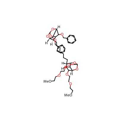 COCCOCCOC1C2OC3O[C@@H]1C(OCCOCCOC)[C@@H](O3)[C@@H]2CCCCCCC[C@@H]1C2OC3O[C@@H](C2OCc2ccccc2)C(OCc2ccccc2)[C@H]1O3